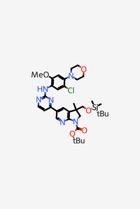 COc1cc(N2CCOCC2)c(Cl)cc1Nc1nccc(-c2cnc3c(c2)C(C)(CO[Si](C)(C)C(C)(C)C)CN3C(=O)OC(C)(C)C)n1